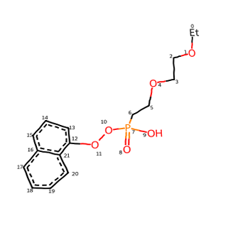 CCOCCOCCP(=O)(O)OOc1cccc2ccccc12